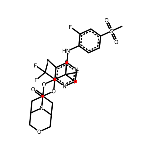 Cc1c(Nc2ccc(S(C)(=O)=O)cc2F)ncnc1OC1CC2COCC(C1)N2C(=O)OC(C(F)(F)F)C(F)(F)F